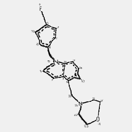 Fc1ccc(-n2ccc3c(CN4CCOCC4)cccc32)cc1